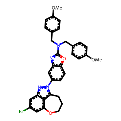 COc1ccc(CN(Cc2ccc(OC)cc2)c2nc3cc(-n4nc5cc(Br)cc6c5c4CCCO6)ccc3o2)cc1